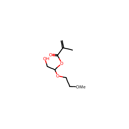 C=C(C)C(=O)OC(CO)OCCOC